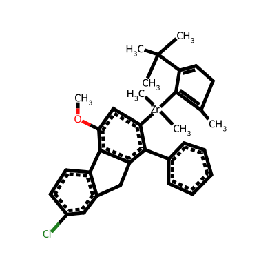 COc1c[c]([Zr]([CH3])([CH3])[C]2=C(C)CC=C2C(C)(C)C)c(-c2ccccc2)c2c1-c1ccc(Cl)cc1C2